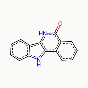 O=c1[nH]c2c3ccccc3[nH]c2c2ccccc12